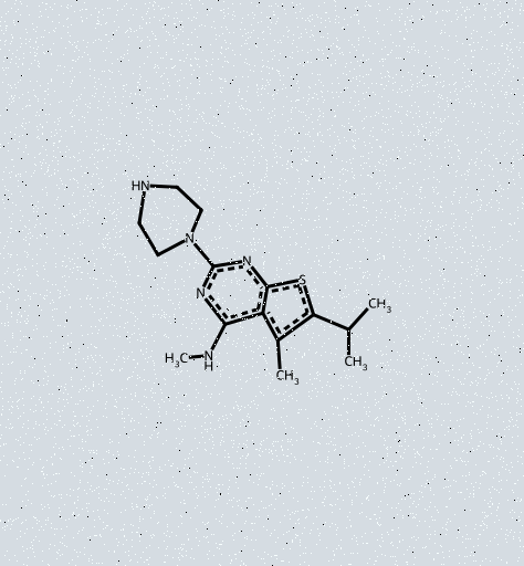 CNc1nc(N2CCNCC2)nc2sc(C(C)C)c(C)c12